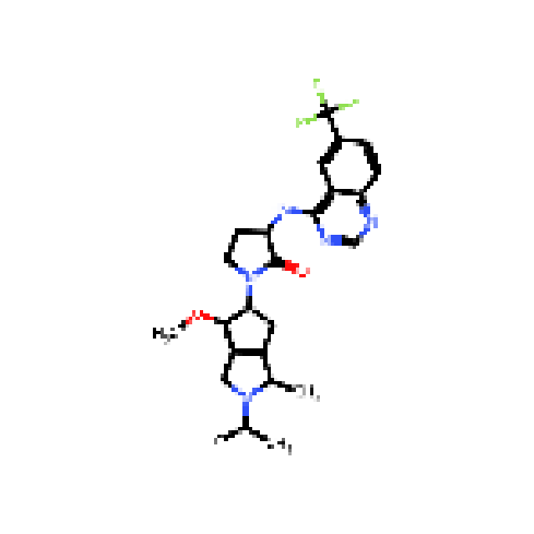 COC1C2CN(C(C)C)C(C)C2CC1N1CCC(Nc2ncnc3ccc(C(F)(F)F)cc23)C1=O